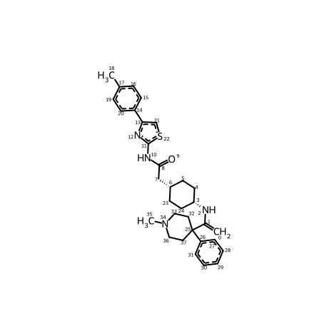 C=C(N[C@H]1CC[C@@H](CC(=O)Nc2nc(-c3ccc(C)cc3)cs2)CC1)C1(c2ccccc2)CCN(C)CC1